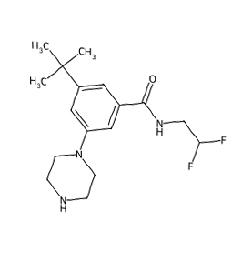 CC(C)(C)c1cc(C(=O)NCC(F)F)cc(N2CCNCC2)c1